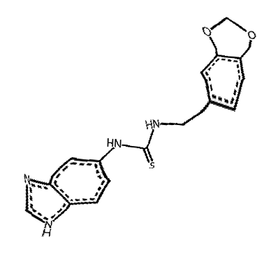 S=C(NCc1ccc2c(c1)OCO2)Nc1ccc2[nH]cnc2c1